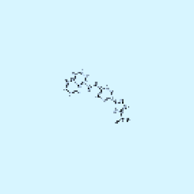 FC(F)c1nnc(-c2ccc(COc3cccc4ncccc34)nc2)o1